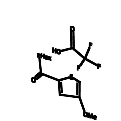 CCCCCCC(=O)c1cc(OC)cs1.O=C(O)C(F)(F)F